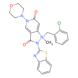 C[N+]1(Cc2ccccc2Cl)c2cc(=O)n(N3CCOCC3)cc2C(=O)N1c1nc2ccccc2s1